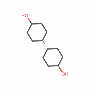 OC1CCC([C@H]2CC[C@H](O)CC2)CC1